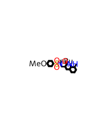 CCCCN(Cc1cc2cccc(C)c2[nH]c1=O)S(=O)(=O)c1ccc(OC)cc1